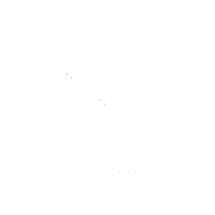 CCOC(=O)/C=C\c1cccc2nc(C)cn12